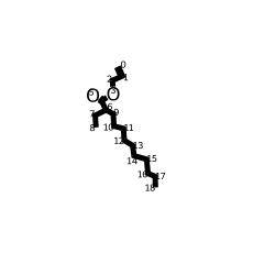 C=CCOC(=O)C(CC)CCCCCCCCCC